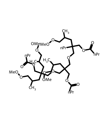 CCCC(=O)OCC(CCC)(COCC(COCC(COC(=O)CCC)(CC(C)COOC)CC(C)COOC)(COC(=O)CCC)CC(C)COOC)CC(C)COOC